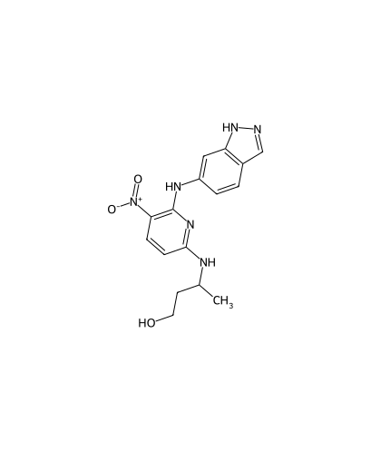 CC(CCO)Nc1ccc([N+](=O)[O-])c(Nc2ccc3cn[nH]c3c2)n1